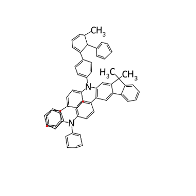 CC1C=CC=C(c2ccc(N(c3ccc(-c4ccccc4)cc3)c3cc4c(cc3-c3ccc(N(c5ccccc5)c5ccccc5)cc3)-c3ccccc3C4(C)C)cc2)C1c1ccccc1